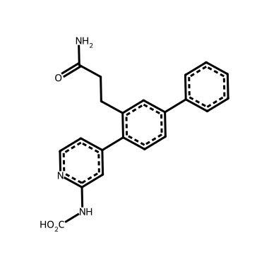 NC(=O)CCc1cc(-c2ccccc2)ccc1-c1ccnc(NC(=O)O)c1